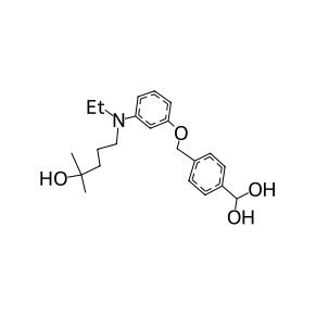 CCN(CCCC(C)(C)O)c1cccc(OCc2ccc(C(O)O)cc2)c1